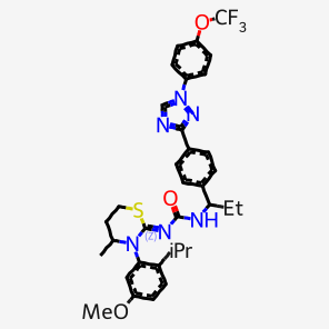 CCC(NC(=O)/N=C1\SCCC(C)N1c1cc(OC)ccc1C(C)C)c1ccc(-c2ncn(-c3ccc(OC(F)(F)F)cc3)n2)cc1